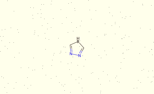 B1C=NN=C1